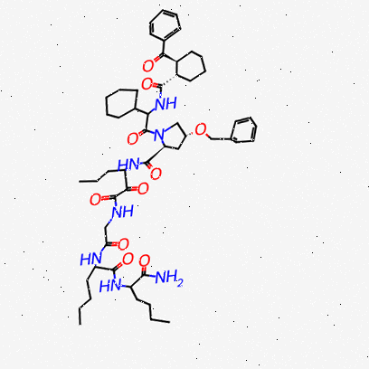 CCCCC(NC(=O)C(CCCC)NC(=O)CNC(=O)C(=O)C(CCC)NC(=O)[C@@H]1C[C@@H](OCc2ccccc2)CN1C(=O)C(NC(=O)[C@H]1CCCC[C@@H]1C(=O)c1ccccc1)C1CCCCC1)C(N)=O